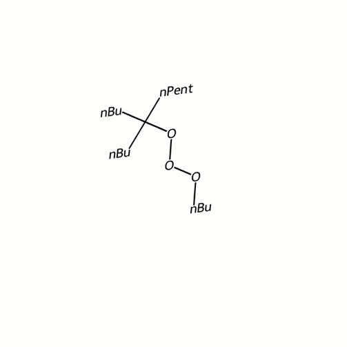 CCCCCC(CCCC)(CCCC)OOOCCCC